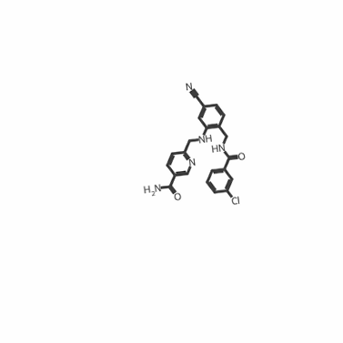 N#Cc1ccc(CNC(=O)c2cccc(Cl)c2)c(NCc2ccc(C(N)=O)cn2)c1